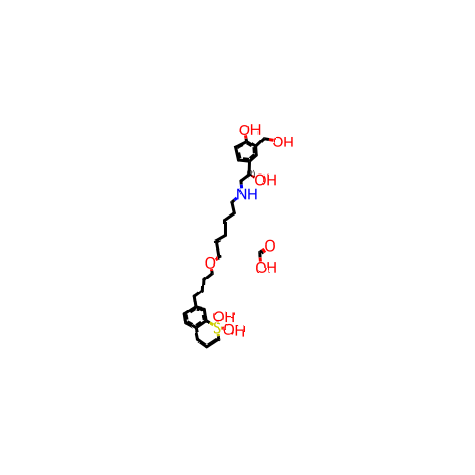 O=CO.OCc1cc([C@@H](O)CNCCCCCCOCCCCc2ccc3c(c2)S(O)(O)CCC3)ccc1O